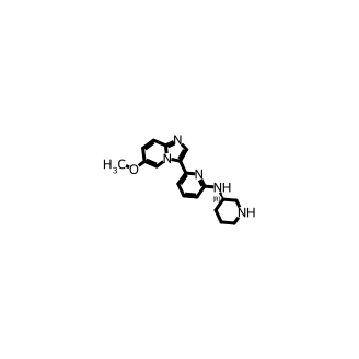 COc1ccc2ncc(-c3cccc(N[C@@H]4CCCNC4)n3)n2c1